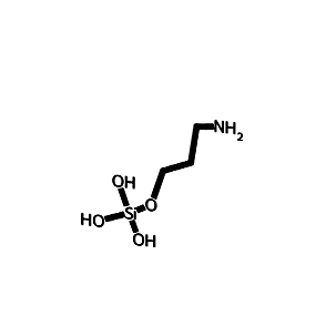 NCCCO[Si](O)(O)O